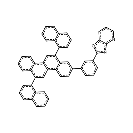 c1cc(-c2ccc3c(c2)c(-c2cccc4ccccc24)cc2c4ccccc4c(-c4cccc5ccccc45)cc32)cc(-c2nc3ncccc3o2)c1